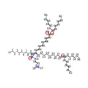 CCCCCCCCCCN(C(=O)CCCN(C)C)C(CCCCCCCCCOC(CCCCCC)CCCCCC)CCCCCCCCC(=O)OC(CCCCCC)CCCCCC